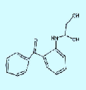 O=C(c1ccccc1)c1ccccc1NC(O)CO